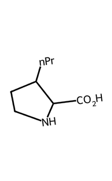 CCCC1CCNC1C(=O)O